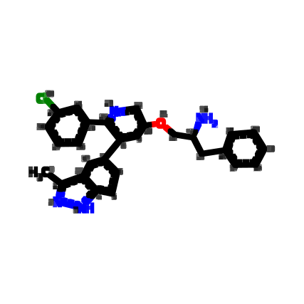 Cc1n[nH]c2ccc(-c3cc(OC[C@@H](N)Cc4ccccc4)cnc3-c3cccc(Cl)c3)cc12